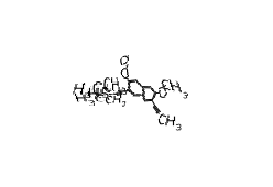 CC#Cc1cc2cc(C#C[SH](C)(C)(C)C)c(OC=O)cc2cc1OC